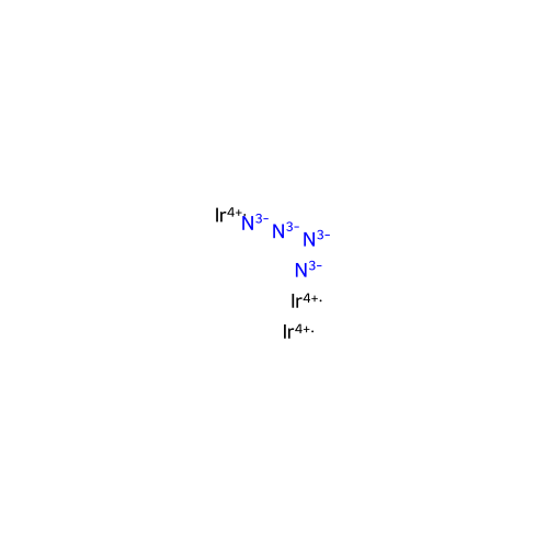 [Ir+4].[Ir+4].[Ir+4].[N-3].[N-3].[N-3].[N-3]